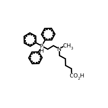 CN(CCCCC(=O)O)CC[PH](c1ccccc1)(c1ccccc1)c1ccccc1